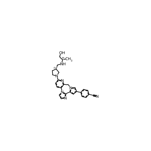 C[C@H](CO)NC[C@@H]1CCN(c2ccc3c(n2)Cn2cc(-c4ccc(C#N)cc4)cc2-c2nccn2-3)C1